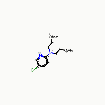 COCCN(CCOC)c1ccc(Br)cn1